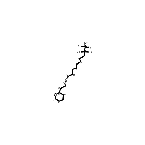 FC(F)(F)C(F)(F)CCCCCCCCCOCCC1CCCCO1